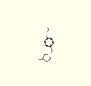 CC1CCN(Cc2ccc(OCC(=O)O)cc2)C1